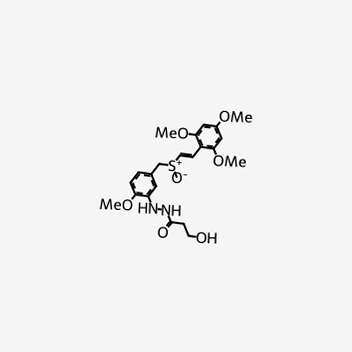 COc1cc(OC)c(C=C[S+]([O-])Cc2ccc(OC)c(NNC(=O)CCO)c2)c(OC)c1